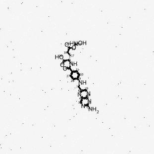 Nc1ncc2nc(CNc3ccc(C(=O)N[C@@H](CCC(=O)ONO)C(=O)O)cc3)cnc2n1